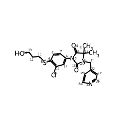 CC1(C)C(=O)N(c2ccc(SCCCO)c(Cl)c2)C(=O)N1Cc1ccncc1